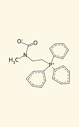 CN(CC[P+](c1ccccc1)(c1ccccc1)c1ccccc1)C(=O)[O-]